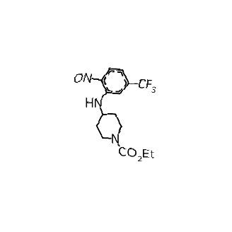 CCOC(=O)N1CCC(Nc2cc(C(F)(F)F)ccc2N=O)CC1